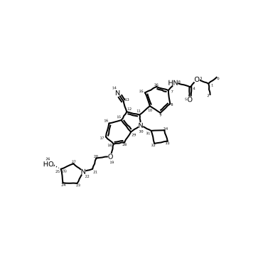 CC(C)OC(=O)Nc1ccc(-c2c(C#N)c3ccc(OCCN4CC[C@H](O)C4)cc3n2C2CCC2)cc1